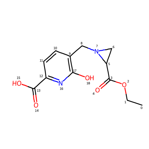 CCOC(=O)C1CN1Cc1ccc(C(=O)O)nc1O